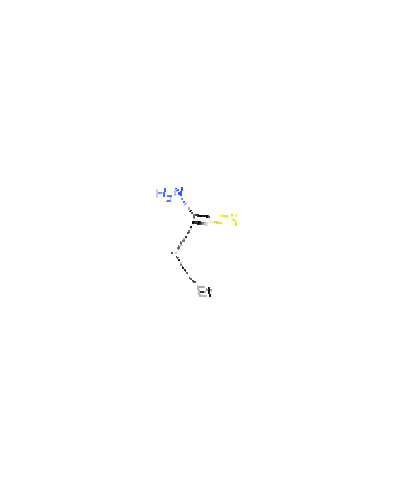 CC[CH]C(N)=S